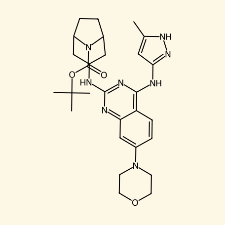 Cc1cc(Nc2nc(NC3CC4CCC(C3)N4C(=O)OC(C)(C)C)nc3cc(N4CCOCC4)ccc23)n[nH]1